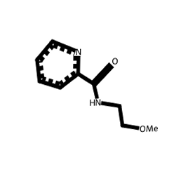 COCCNC(=O)c1ccc[c]n1